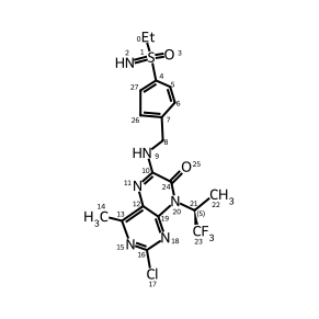 CCS(=N)(=O)c1ccc(CNc2nc3c(C)nc(Cl)nc3n([C@@H](C)C(F)(F)F)c2=O)cc1